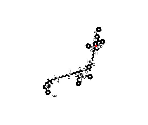 COc1ccc(-c2ccc3n2[B-](F)(F)[N+]2=C(C)C(CCC(=O)NCCCCCC(=O)NCCCCC(NC(=O)C(Cc4ccccc4)NC(=O)OCc4ccccc4)C(=O)COC(=O)c4c(C)cc(C(=O)NCCCCNC(=O)C5CCN(S(=O)(=O)c6ccccc6-c6c7cc/c(=[N+](/C)c8ccccc8)cc-7oc7cc(N(C)c8ccccc8)ccc67)CC5)cc4C)=C(C)C2=C3)cc1